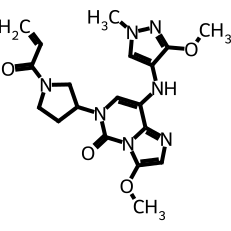 C=CC(=O)N1CCC(n2cc(Nc3cn(C)nc3OC)c3ncc(OC)n3c2=O)C1